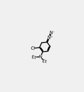 CCN(CC)C1=C(Cl)CC(=[N+]=[N-])C=C1